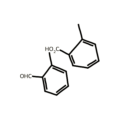 Cc1ccccc1C(=O)O.Cc1ccccc1C=O